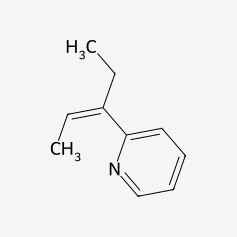 C/C=C(/CC)c1ccccn1